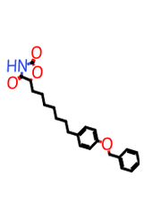 O=C1NC(=O)C(CCCCCCCc2ccc(OCc3ccccc3)cc2)O1